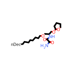 CCCCCCCCCCCCCCCCCCOCC(COC1CCCCO1)NC(=O)C(N)=O